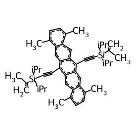 C=C(C)[Si](C#Cc1c2cc3c(C)ccc(C)c3cc2c(C#C[Si](C(=C)C)(C(C)C)C(C)C)c2cc3c(C)ccc(C)c3cc12)(C(C)C)C(C)C